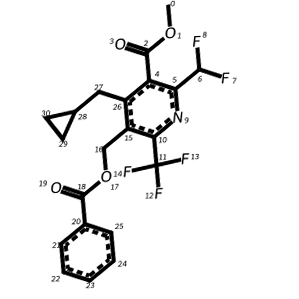 COC(=O)c1c(C(F)F)nc(C(F)(F)F)c(COC(=O)c2ccccc2)c1CC1CC1